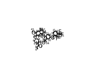 C=CC(=O)N1CCC(Oc2cc3c(Nc4ccc(Oc5cccc(C(F)(F)F)c5F)cc4C(C)(C)O)ncnc3cc2OC)CC1